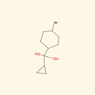 CC(C)C1CCC(C(O)(O)C2CC2)CC1